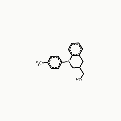 OCC1Cc2ccccc2N(c2ccc(C(F)(F)F)cc2)C1